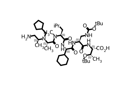 CC(C)C[C@@H](C(=O)N[C@H](C(=O)N[C@@H](CNC(=O)OC(C)(C)C)C(=O)N[C@H](C(=O)O)[C@H](C)OC(C)(C)C)C1CCCCC1)N(C)C(=O)[C@H](C)N(CC1CCCC1)[C@@H](C)CN